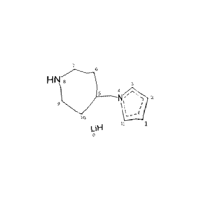 [LiH].c1ccn(C2CCNCC2)c1